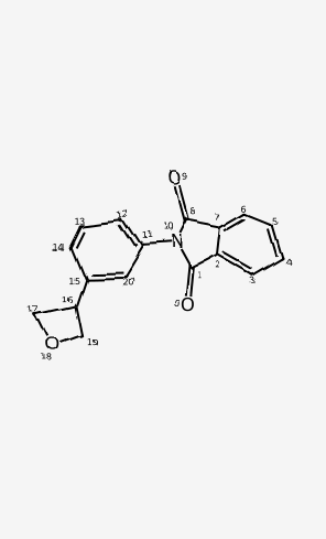 O=C1c2ccccc2C(=O)N1c1cccc(C2COC2)c1